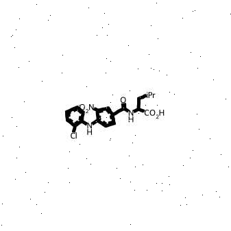 CC(C)CC(NC(=O)c1ccc(Nc2ccccc2Cl)c([N+](=O)[O-])c1)C(=O)O